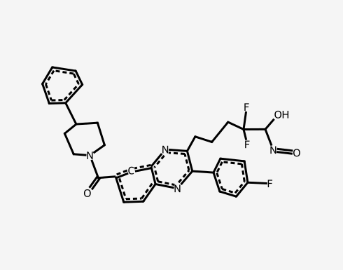 O=NC(O)C(F)(F)CCCc1nc2cc(C(=O)N3CCC(c4ccccc4)CC3)ccc2nc1-c1ccc(F)cc1